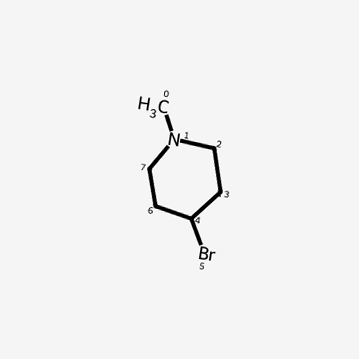 CN1C[CH]C(Br)CC1